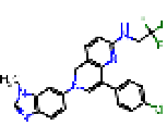 Cn1cnc2ccc(N3C=C(c4ccc(Cl)cc4)c4nc(NCC(F)(F)F)ccc4C3)cc21